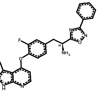 Cc1c[nH]c2nccc(Oc3ccc(C[C@H](N)c4nc(-c5ccccc5)no4)cc3F)c12